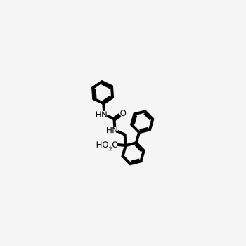 O=C(NCC1(C(=O)O)CC=CC=C1c1ccccc1)Nc1ccccc1